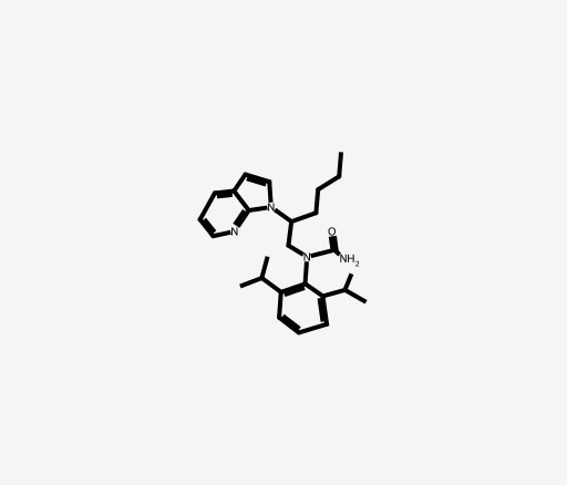 CCCCC(CN(C(N)=O)c1c(C(C)C)cccc1C(C)C)n1ccc2cccnc21